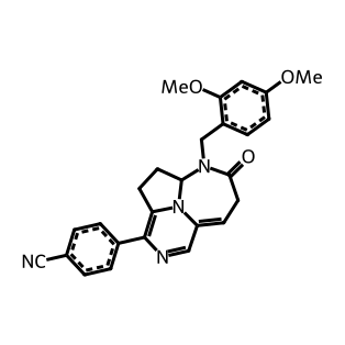 COc1ccc(CN2C(=O)CC=C3C=NC(c4ccc(C#N)cc4)=C4CCC2N34)c(OC)c1